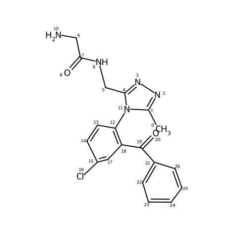 Cc1nnc(CNC(=O)CN)n1-c1ccc(Cl)cc1C(=O)c1ccccc1